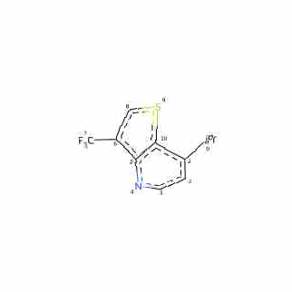 CC(C)c1ccnc2c(C(F)(F)F)csc12